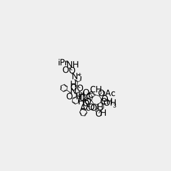 CC(=O)O[C@H]1C(=O)[C@@]2(C)[C@H]([C@H](OC(=O)c3ccccc3)[C@]3(O)C[C@H](OC(=O)[C@H](OC(=O)c4ccc[n+](COC(=O)NC(C)C)c4)[C@@H](NC(=O)c4ccccc4)c4ccccc4)C(C)=C1C3(C)C)[C@]1(OC(C)=O)CO[C@@H]1C[C@@H]2O